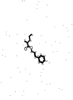 CCCC(C)C(=O)OCC=Cc1ccccc1